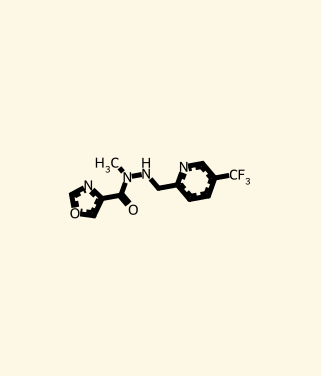 CN(NCc1ccc(C(F)(F)F)cn1)C(=O)c1cocn1